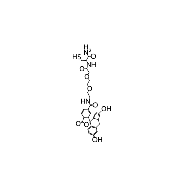 NC(=O)C(CS)NC(=O)COCCOCCNC(=O)C1=CC2C(C=C1)C(=O)OC21c2ccc(O)cc2CC2C=C(O)C=CC21